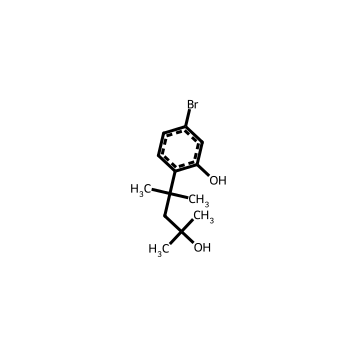 CC(C)(O)CC(C)(C)c1ccc(Br)cc1O